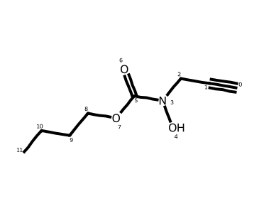 C#CCN(O)C(=O)OCCCC